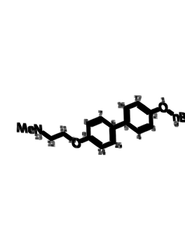 CCCCOc1ccc(-c2ccc(OCCNC)cc2)cc1